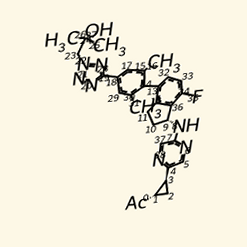 CC(=O)[C@H]1C[C@@H]1c1cnc(N[C@@H]2CCc3c(-c4c(C)cc(-c5nnn(CC(C)(C)O)n5)cc4C)ccc(F)c32)cn1